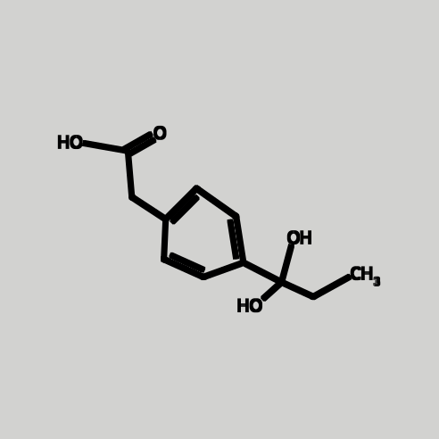 CCC(O)(O)c1ccc(CC(=O)O)cc1